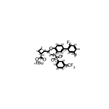 CC(C)(C)OC(=O)[C@H]1CC[C@@H]1[C@H]1CN(S(=O)(=O)c2cccc(C(F)(F)F)c2)c2cc(-c3cc(F)ccc3F)ccc2O1